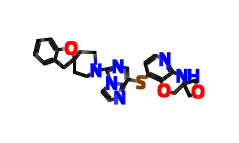 c1ccc2c(c1)CC1(CCN(c3ncc(Sc4ccnc5c4OCC4(COC4)N5)c4nccn34)CC1)O2